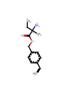 C=Cc1ccc(COC(=O)C(C)(N)CC)cc1